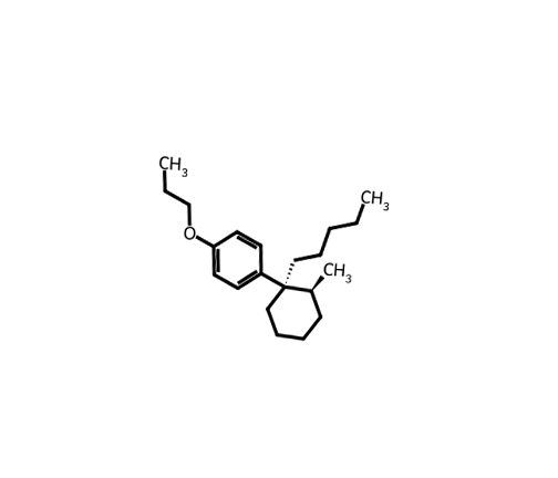 CCCCC[C@@]1(c2ccc(OCCC)cc2)CCCC[C@@H]1C